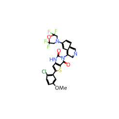 COc1ccc(Cl)c(-c2cc3[nH]c(=O)n(-c4cncc5ccc(N6CC(F)(F)OC(F)(F)C6)cc45)c(=O)c3s2)c1